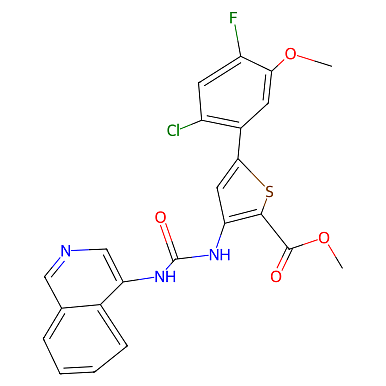 COC(=O)c1sc(-c2cc(OC)c(F)cc2Cl)cc1NC(=O)Nc1cncc2ccccc12